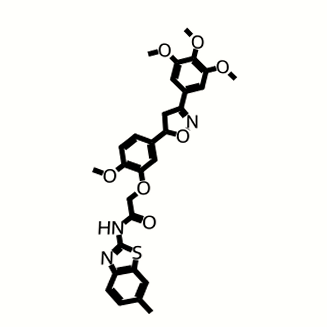 COc1ccc(C2CC(c3cc(OC)c(OC)c(OC)c3)=NO2)cc1OCC(=O)Nc1nc2ccc(C)cc2s1